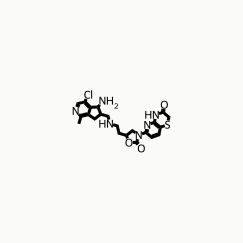 Cc1ncc(Cl)c2c1CC(CNCCC1CN(c3ccc4c(n3)NC(=O)CS4)C(=O)O1)C2N